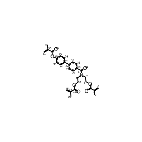 C=C(C)C(=O)OCCN(CCOC(=O)C(=C)C)C(=O)c1ccc(-c2ccc(OC(=O)C(=C)C)cc2)cc1